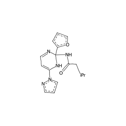 CC(C)CC(=O)NC1(c2ccco2)N=CC=C(n2cccn2)N1